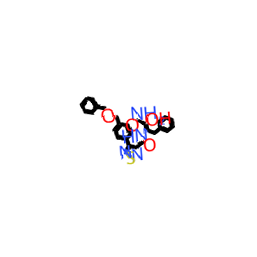 NC(=O)C(O)C(Cc1ccccc1)NC(=O)c1nsnc1-c1ccc(COCc2ccccc2)cc1